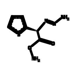 NN=N[C@H](C(=O)ON)c1cccs1